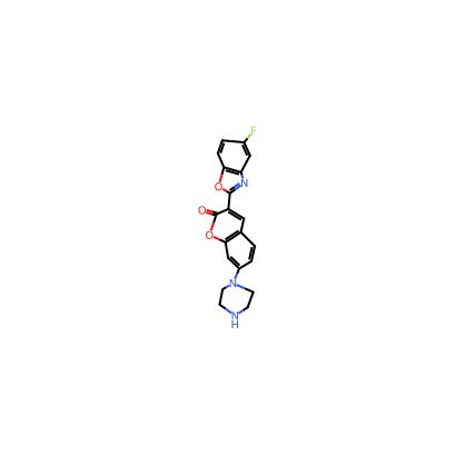 O=c1oc2cc(N3CCNCC3)ccc2cc1-c1nc2cc(F)ccc2o1